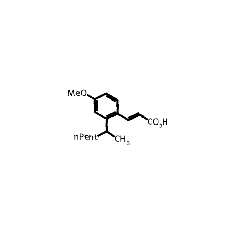 CCCCCC(C)c1cc(OC)ccc1/C=C/C(=O)O